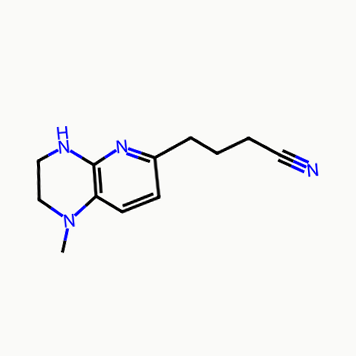 CN1CCNc2nc(CCCC#N)ccc21